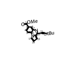 COC(=O)c1ccc2c(c1)nc(C#CC(C)(C)C)c1cccn12